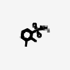 Cc1[c]ccc(S(N)(=O)=O)c1C